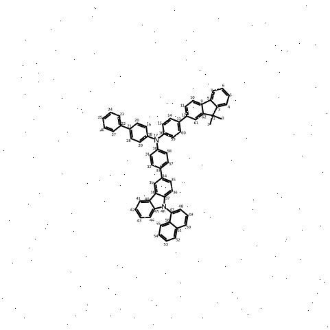 CC1(C)c2ccccc2-c2ccc(-c3ccc(N(c4ccc(-c5ccccc5)cc4)c4ccc(-c5ccc6c(c5)c5ccccc5n6-c5cccc6ccccc56)cc4)cc3)cc21